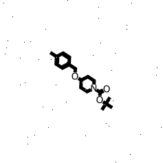 Cc1ccc(COC2CCN(C(=O)OC(C)(C)C)CC2)cc1